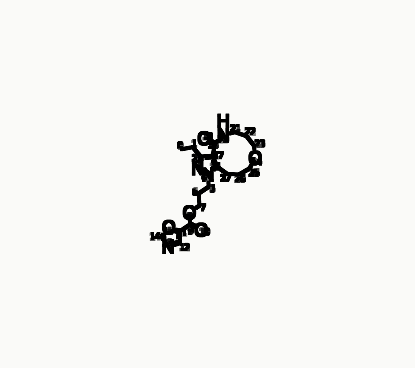 CCc1nn(CCCOC(=O)c2cnco2)c2c1C(=O)NCCCOCCC2